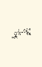 COc1cc(CCC(=O)Nc2cccc(C(=O)O)c2)ccc1O